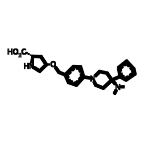 CN(C)C1(c2ccccc2)CCN(c2ccc(CO[C@@H]3CN[C@H](C(=O)O)C3)cc2)CC1